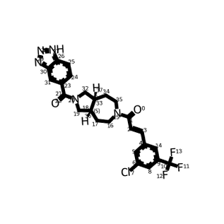 O=C(C=Cc1cc(Cl)cc(C(F)(F)F)c1)N1CC[C@@H]2CN(C(=O)c3ccc4[nH]nnc4c3)C[C@@H]2CC1